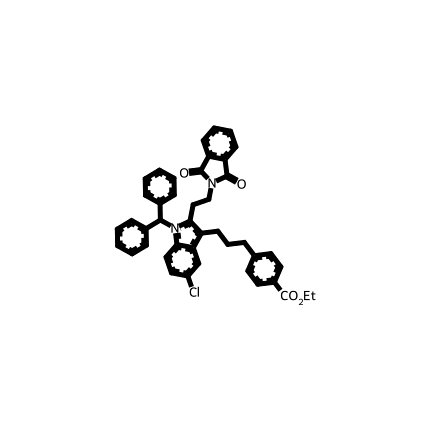 CCOC(=O)c1ccc(CCCc2c(CCN3C(=O)c4ccccc4C3=O)n(C(c3ccccc3)c3ccccc3)c3ccc(Cl)cc23)cc1